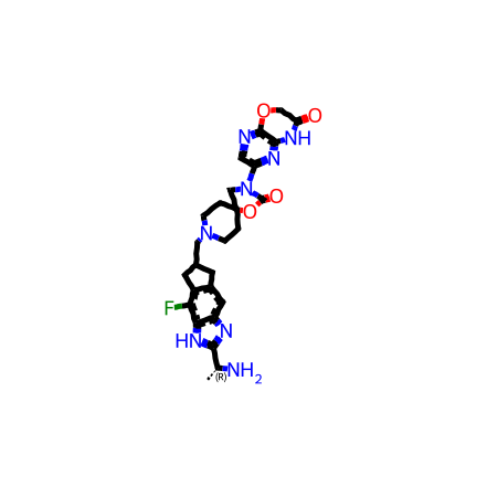 C[C@@H](N)c1nc2cc3c(c(F)c2[nH]1)CC(CN1CCC2(CC1)CN(c1cnc4c(n1)NC(=O)CO4)C(=O)O2)C3